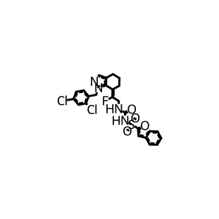 O=C(NCC(F)=C1CCCc2cnn(Cc3ccc(Cl)cc3Cl)c21)NS(=O)(=O)c1cc2ccccc2o1